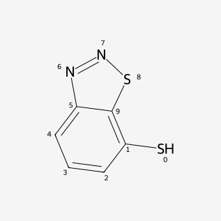 Sc1cccc2nnsc12